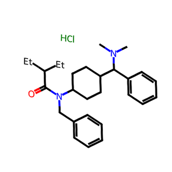 CCC(CC)C(=O)N(Cc1ccccc1)C1CCC(C(c2ccccc2)N(C)C)CC1.Cl